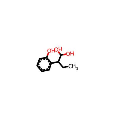 CCC(c1ccccc1O)C(O)O